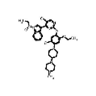 CCOc1cc(N2CCC(N3CCN(C)CC3)CC2)c(Cl)cc1Nc1ncc(Cl)c(-c2cn([S+]([O-])CC)c3ccccc23)n1